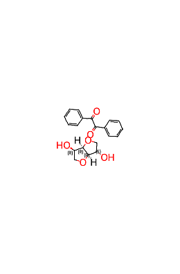 O=C(C(=O)c1ccccc1)c1ccccc1.O[C@@H]1CO[C@H]2[C@@H]1OC[C@@H]2O